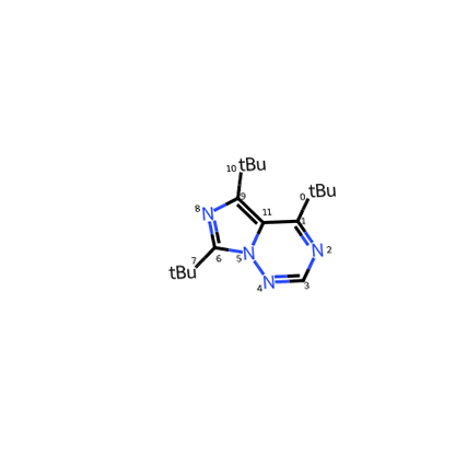 CC(C)(C)c1ncnn2c(C(C)(C)C)nc(C(C)(C)C)c12